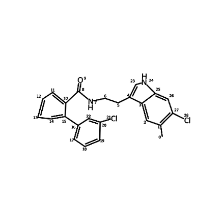 Cc1cc2c(CCNC(=O)c3ccccc3-c3cccc(Cl)c3)c[nH]c2cc1Cl